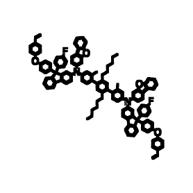 C=Cc1ccc(Oc2ccc(C3(c4ccc(F)cc4)c4ccccc4-c4ccc(N(c5ccc(-c6cc(CCCCCC)c(-c7ccc(N(c8ccc9c(c8)C(c8ccc(F)cc8)(c8ccc(Oc%10ccc(C=C)cc%10)cc8)c8ccccc8-9)c8ccc9c(c8)oc8ccccc89)cc7C)cc6CCCCCC)c(C)c5)c5ccc6c(c5)oc5ccccc56)cc43)cc2)cc1